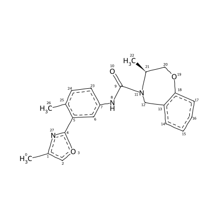 Cc1coc(-c2cc(NC(=O)N3Cc4ccccc4OC[C@@H]3C)ccc2C)n1